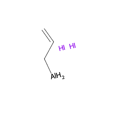 C=C[CH2][AlH2].I.I